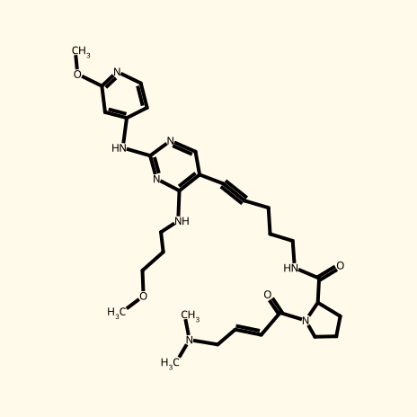 COCCCNc1nc(Nc2ccnc(OC)c2)ncc1C#CCCCNC(=O)C1CCCN1C(=O)C=CCN(C)C